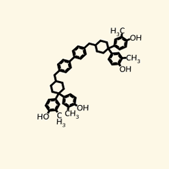 Cc1cc(C2(c3ccc(O)c(C)c3)CCC(Cc3ccc(-c4ccc(CC5CCC(c6ccc(O)c(C)c6)(c6ccc(O)c(C)c6)CC5)cc4)cc3)CC2)ccc1O